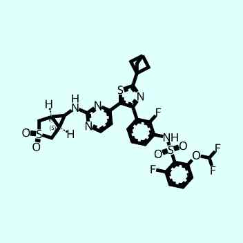 O=S1(=O)C[C@@H]2C(Nc3nccc(-c4sc(C56CC(C5)C6)nc4-c4cccc(NS(=O)(=O)c5c(F)cccc5OC(F)F)c4F)n3)[C@@H]2C1